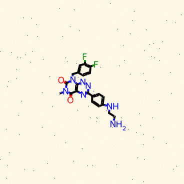 Cn1c(=O)c2nc(-c3ccc(NCCN)cc3)nnc2n(Cc2ccc(F)c(F)c2)c1=O